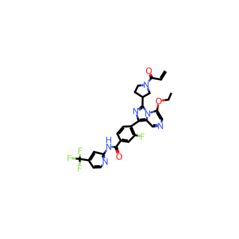 C=CC(=O)N1CCC(c2nc(-c3ccc(C(=O)Nc4cc(C(F)(F)F)ccn4)cc3F)c3cncc(OCC)n23)C1